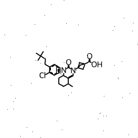 CC1CCC[C@@]2(c3ccc(CCC(C)(C)C)c(Cl)c3)NC(=O)N(C34CC(C(=O)O)(C3)C4)C=C12